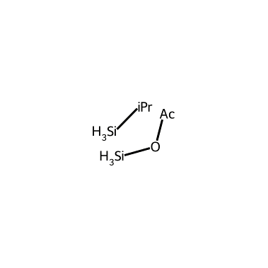 CC(=O)O[SiH3].CC(C)[SiH3]